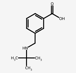 CC(C)(C)NCc1cccc(C(=O)O)c1